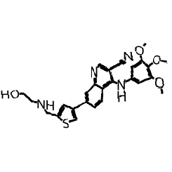 COc1cc(Nc2c(C#N)cnc3cc(-c4csc(CNCCO)c4)ccc23)cc(OC)c1OC